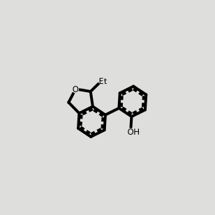 CCC1OCc2cccc(-c3ccccc3O)c21